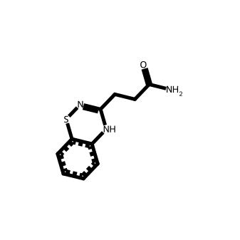 NC(=O)CCC1=NSc2ccccc2N1